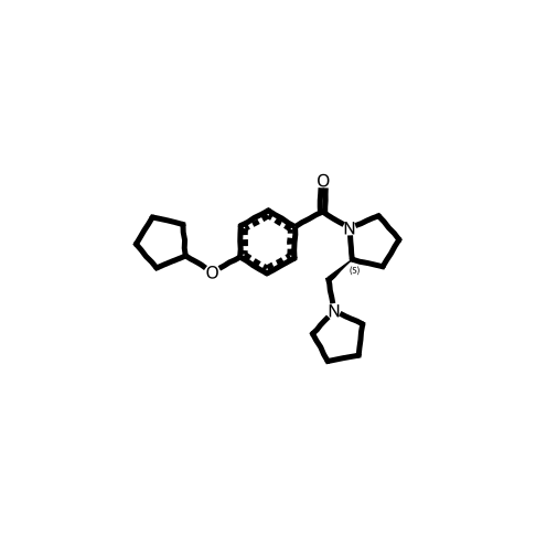 O=C(c1ccc(OC2CCCC2)cc1)N1CCC[C@H]1CN1CCCC1